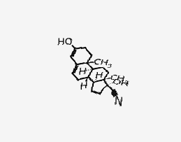 C[C@]12CCC(O)=CC1=CC[C@@H]1[C@@H]2CC[C@@]2(C)[C@H]1CC[C@]2(O)C#N